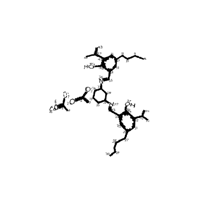 CC(=O)[O-].CC(=O)[O-].CCCCc1cc(C=NC2CCCC(N=Cc3cc(CCCC)cc(C(C)C)c3O)C2)c(O)c(C(C)C)c1.[Co+2]